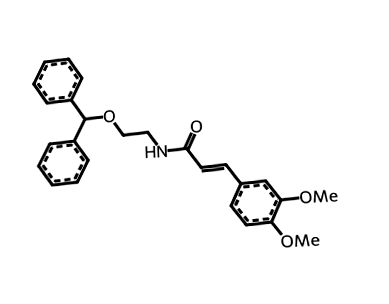 COc1ccc(/C=C/C(=O)NCCOC(c2ccccc2)c2ccccc2)cc1OC